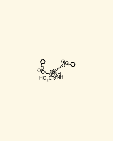 CN(CC(=O)O)C(=N)NP(=O)(OCCCCOC(=O)OCc1ccccc1)OCCCCOC(=O)OCc1ccccc1